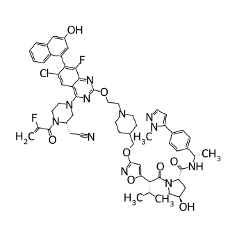 C=C(F)C(=O)N1CCN(c2nc(OCCN3CCC(COc4cc([C@H](C(=O)N5C[C@H](O)C[C@H]5C(=O)N[C@@H](C)c5ccc(-c6ccnn6C)cc5)C(C)C)on4)CC3)nc3c(F)c(-c4cc(O)cc5ccccc45)c(Cl)cc23)C[C@@H]1CC#N